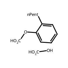 CCCCCc1ccccc1OC(=O)O.O=C(O)O